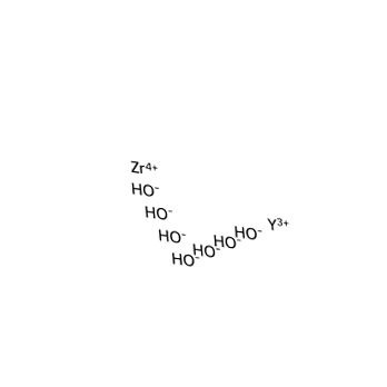 [OH-].[OH-].[OH-].[OH-].[OH-].[OH-].[OH-].[Y+3].[Zr+4]